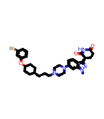 Cn1nc(C2CCC(=O)NC2=O)c2ccc(N3CCN(CCCC4CCC(Oc5cccc(Br)c5)CC4)CC3)cc21